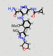 COc1c(Nc2cc(NC(=O)C3CC3)nnc2C(N)=O)cccc1-c1cn(C2CCOC2)nc1C#N